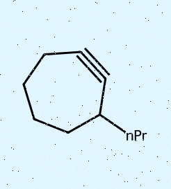 CCCC1C#CCCCC1